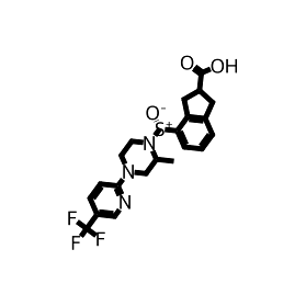 CC1CN(c2ccc(C(F)(F)F)cn2)CCN1[S+]([O-])c1cccc2c1CC(C(=O)O)C2